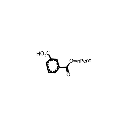 CCCCCOC(=O)c1cccc(C(=O)O)c1